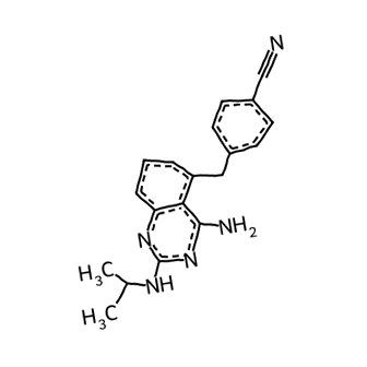 CC(C)Nc1nc(N)c2c(Cc3ccc(C#N)cc3)cccc2n1